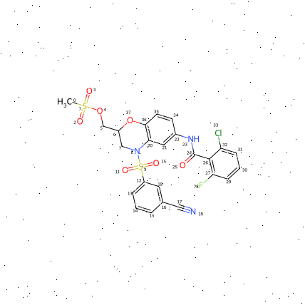 CS(=O)(=O)OCC1CN(S(=O)(=O)c2cccc(C#N)c2)c2cc(NC(=O)c3c(F)cccc3Cl)ccc2O1